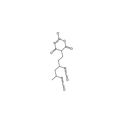 CC(CC(CCC1C(=O)N=[N+]([O-])OC1=O)N=C=O)N=C=O